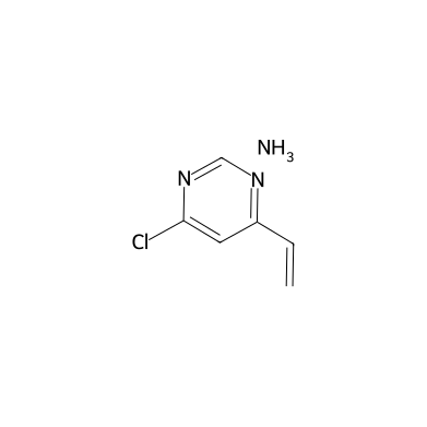 C=Cc1cc(Cl)ncn1.N